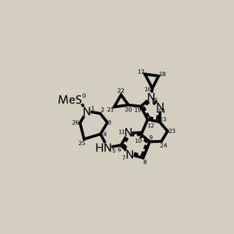 CSN1CCC(Nc2ncc3c(n2)-c2c(nn(C4CC4)c2C2CC2)CC3)CC1